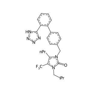 CCCc1c(C(F)(F)F)n(CC(C)C)c(=O)n1Cc1ccc(-c2ccccc2-c2nnn[nH]2)cc1